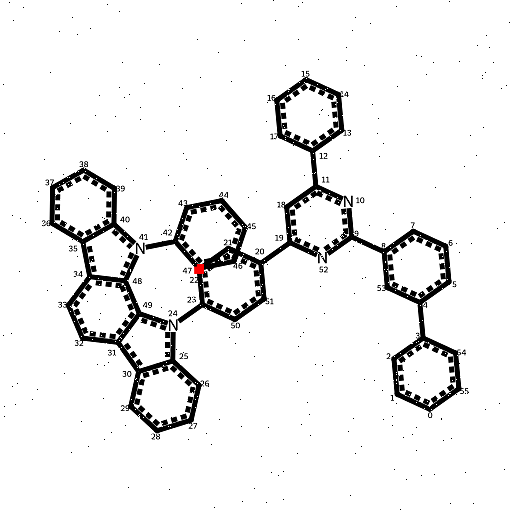 c1ccc(-c2cccc(-c3nc(-c4ccccc4)cc(-c4ccc(-n5c6ccccc6c6ccc7c8ccccc8n(-c8ccccc8)c7c65)cc4)n3)c2)cc1